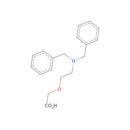 O=C(O)COCCN(Cc1ccccc1)Cc1ccccc1